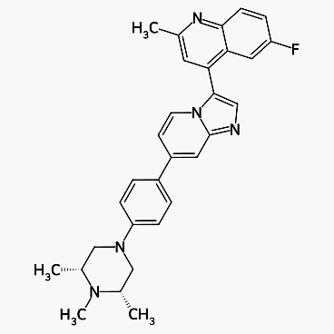 Cc1cc(-c2cnc3cc(-c4ccc(N5C[C@@H](C)N(C)[C@@H](C)C5)cc4)ccn23)c2cc(F)ccc2n1